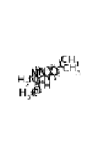 CCC(C)c1ccc(Nc2ncnc(N)c2C=NOC)cc1